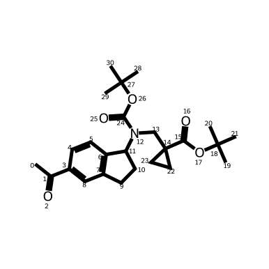 CC(=O)c1ccc2c(c1)CCC2N(CC1(C(=O)OC(C)(C)C)CC1)C(=O)OC(C)(C)C